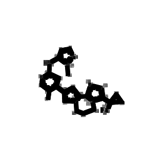 Cc1cnc(Nc2ccnn2C)cc1-c1cc2n(c1)CCCn1c-2nnc1C1(C(F)(F)F)CC1